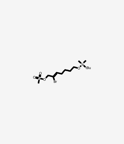 CC(C)(C)[Si](C)(C)OCCCCC=C(Br)COS(C)(=O)=O